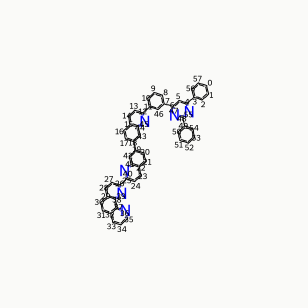 c1ccc(-c2cc(-c3cccc(-c4ccc5ccc(-c6ccc7ccc(-c8ccc9ccc%10cccnc%10c9n8)nc7c6)cc5n4)c3)nc(-c3ccccc3)n2)cc1